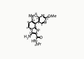 CCCNC(=O)c1nc2c(-c3cnc(OC)nc3OC)c(F)ccn2c1N